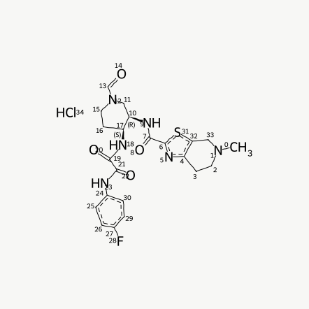 CN1CCc2nc(C(=O)N[C@@H]3CN(C=O)CC[C@@H]3NC(=O)C(=O)Nc3ccc(F)cc3)sc2C1.Cl